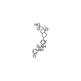 CC[C@@]1(CC(=O)O)CCC2CC(c3ccc(NC(=O)Nc4cccc(Cl)c4)cn3)CCC2C1=O